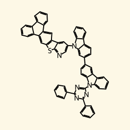 c1ccc(-c2nc(-c3ccccc3)nc(-n3c4ccccc4c4cc(-c5ccc6c7ccccc7n(-c7cnc8sc9cc%10c%11ccccc%11c%11ccccc%11c%10cc9c8c7)c6c5)ccc43)n2)cc1